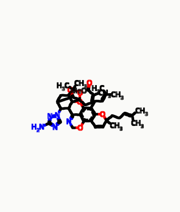 COC(=O)/C(C)=C\CC12OC(C)(C)C3CC(C1=O)C(n1cnc(N)n1)C1C4=NCOc5c6c(c(CC=C(C)C)c(c54)OC132)OC(C)(CCC=C(C)C)C=C6